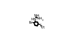 CCSc1ccc(Br)c(NC(=N)N)c1